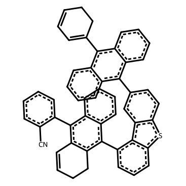 N#Cc1ccccc1-c1c2c(c(-c3cccc4sc5ccc(-c6c7ccccc7c(C7=CC=CCC7)c7ccccc67)cc5c34)c3ccccc13)CCC=C2